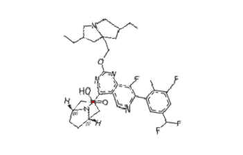 CCC1CN2CC(CC)CC2(COc2nc(N3C[C@H]4CC[C@@H](C3)N4C(=O)O)c3cnc(-c4cc(C(F)F)cc(F)c4C)c(F)c3n2)C1